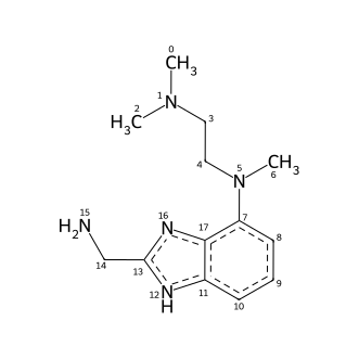 CN(C)CCN(C)c1cccc2[nH]c(CN)nc12